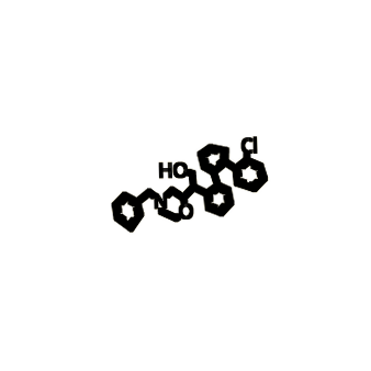 OCC(c1ccccc1-c1ccccc1-c1ccccc1Cl)C1CN(Cc2ccccc2)CCO1